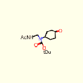 CC(=O)NCN(C(=O)OC(C)(C)C)C1CCC(=O)CC1